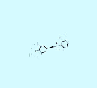 COc1ccccc1P(=O)(O)C#Cc1cc(Cl)c(C(=O)O)c(Cl)c1